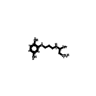 CCCC(CC(=O)O)NCCCOc1cc(O)ccc1O